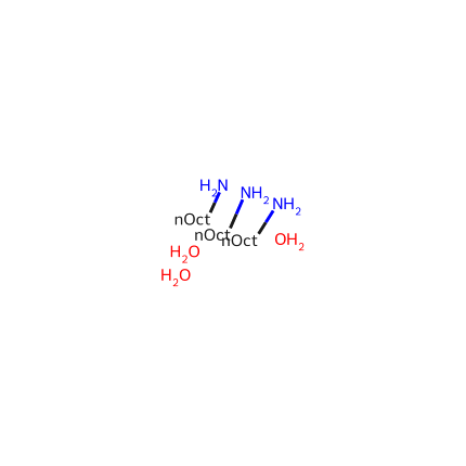 CCCCCCCCN.CCCCCCCCN.CCCCCCCCN.O.O.O